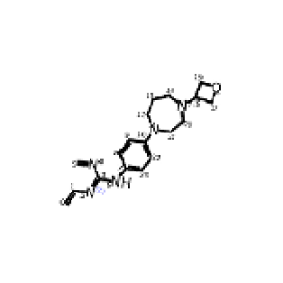 C=C/N=C(\N=C)Nc1ccc(N2CCCN(C3COC3)CC2)cc1